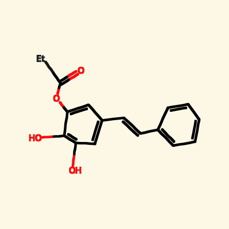 CCC(=O)Oc1cc(C=Cc2ccccc2)cc(O)c1O